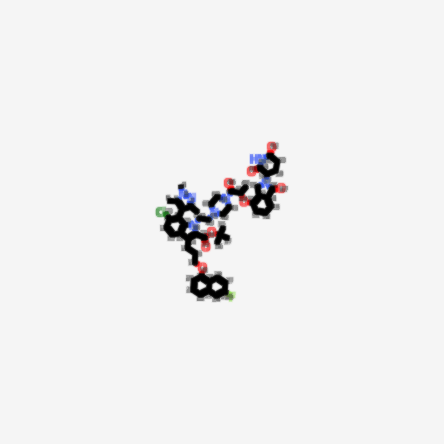 Cc1nn(C)c(C)c1-c1c(Cl)ccc2c(CCCOc3cccc4cc(F)ccc34)c(C(=O)OC(C)(C)C)n(CCN3CCN(C(=O)C(C)Oc4cccc5c4CN(C4CCC(=O)NC4=O)C5=O)CC3)c12